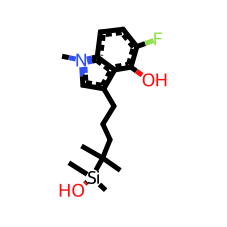 Cn1cc(CCCC(C)(C)[Si](C)(C)O)c2c(O)c(F)ccc21